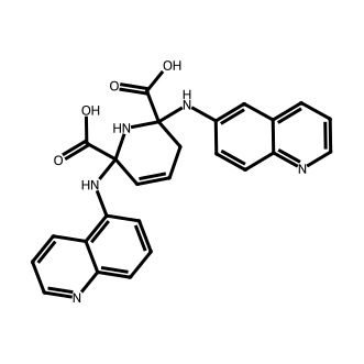 O=C(O)C1(Nc2cccc3ncccc23)C=CCC(Nc2ccc3ncccc3c2)(C(=O)O)N1